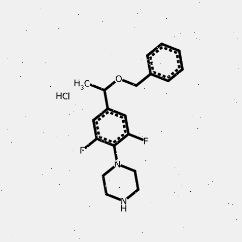 CC(OCc1ccccc1)c1cc(F)c(N2CCNCC2)c(F)c1.Cl